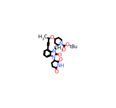 CC(C#Cc1cccc2c1n(C)c(=O)n2C1CCC(=O)NC1=O)OC1CCN(C(=O)OC(C)(C)C)CC1